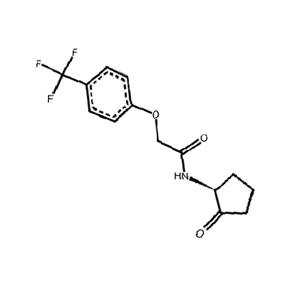 O=C(COc1ccc(C(F)(F)F)cc1)N[C@H]1CCCC1=O